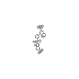 CC(C)(c1cc(-c2cccc(C(=O)Nc3nc4ccc(S(C)(=O)=O)cc4s3)c2)c2ncccc2c1)S(C)(=O)=O